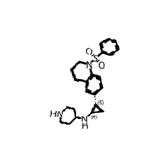 O=S(=O)(c1ccccc1)N1CCCc2cc([C@@H]3C[C@H]3NC3CCNCC3)ccc21